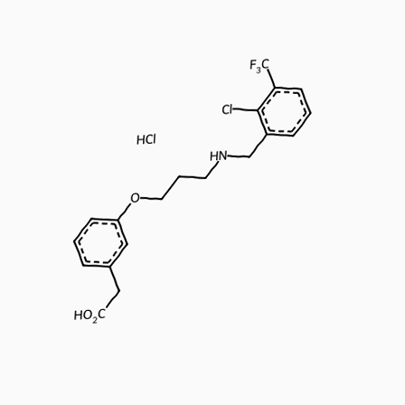 Cl.O=C(O)Cc1cccc(OCCCNCc2cccc(C(F)(F)F)c2Cl)c1